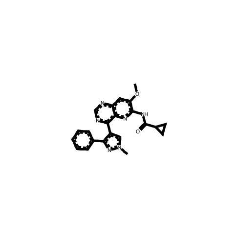 COc1cc2ncnc(-c3cn(C)nc3-c3ccccc3)c2nc1NC(=O)C1CC1